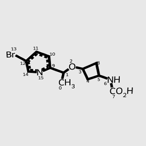 CC(OC1CC(NC(=O)O)C1)c1ccc(Br)cn1